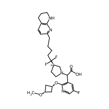 CO[C@H]1C[C@@H](Oc2ncc(F)cc2C(C(=O)O)N2CC[C@@H](C(F)(F)CCCCc3ccc4c(n3)NCCC4)C2)C1